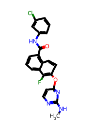 CNc1nccc(Oc2ccc3c(C(=O)Nc4cccc(Cl)c4)cccc3c2F)n1